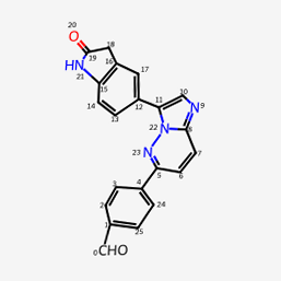 O=Cc1ccc(-c2ccc3ncc(-c4ccc5c(c4)CC(=O)N5)n3n2)cc1